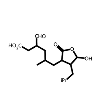 CC(C)CC1C(O)OC(=O)C1CC(C)CC(C=O)CC(=O)O